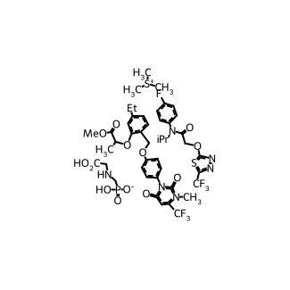 CC(C)N(C(=O)COc1nnc(C(F)(F)F)s1)c1ccc(F)cc1.CCc1ccc(COc2ccc(-n3c(=O)cc(C(F)(F)F)n(C)c3=O)cc2)c(OC(C)C(=O)OC)c1.C[S+](C)C.O=C(O)CNCP(=O)([O-])O